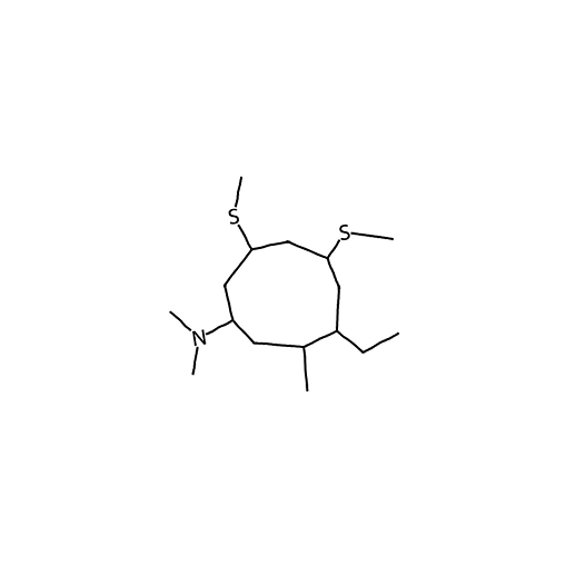 CCC1CC(SC)CC(SC)CC(N(C)C)CC1C